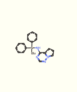 CC(C)(C)[Si](Nc1ncnn2cccc12)(c1ccccc1)c1ccccc1